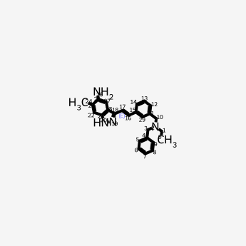 CCN(Cc1ccccc1)Cc1cccc(/C=C/c2n[nH]c3cc(C)c(N)cc23)c1